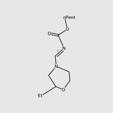 C[CH]C1CN(/C=N/C(=O)OCCCCC)CCO1